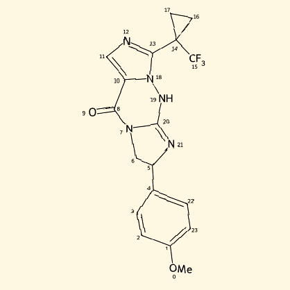 COc1ccc(C2CN3C(=O)c4cnc(C5(C(F)(F)F)CC5)n4NC3=N2)cc1